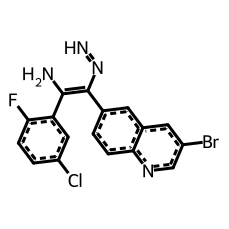 N=N/C(=C(\N)c1cc(Cl)ccc1F)c1ccc2ncc(Br)cc2c1